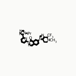 CC(C)n1cnnc1-c1cccc(-n2ncc3ccc(-n4cnc5c4CCN(C)C5C(F)(F)F)cc3c2=O)n1